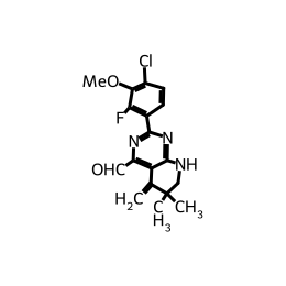 C=C1c2c(C=O)nc(-c3ccc(Cl)c(OC)c3F)nc2NCC1(C)C